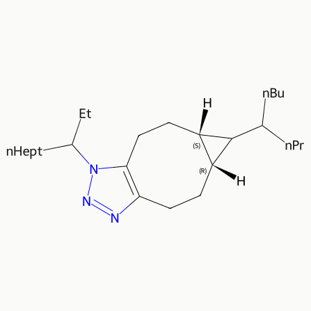 CCCCCCCC(CC)n1nnc2c1CC[C@@H]1C(C(CCC)CCCC)[C@@H]1CC2